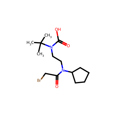 CC(C)(C)N(CCN(C(=O)CBr)C1CCCC1)C(=O)O